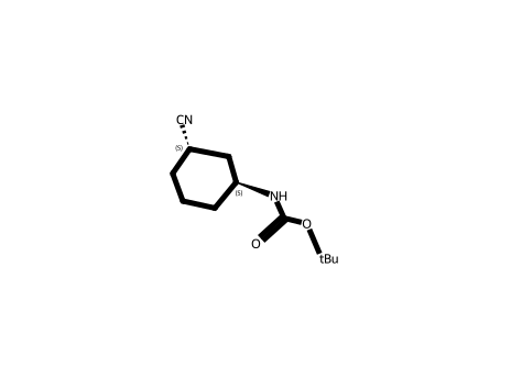 CC(C)(C)OC(=O)N[C@H]1CCC[C@H](C#N)C1